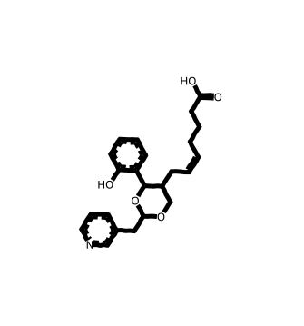 O=C(O)CCC/C=C\CC1COC(Cc2cccnc2)OC1c1ccccc1O